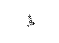 CCN(CC)CCC[C@@H](C)Nc1ncc2cc(-c3cnccc3C)ccc2n1